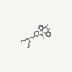 CCCCN(CCCC)CCC1CCCN(C(=O)N2c3ccccc3NC(=O)c3cccnc32)C1